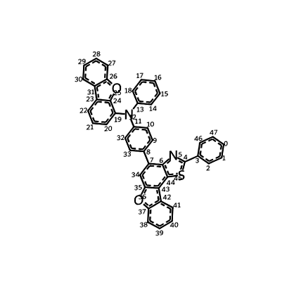 c1ccc(-c2nc3c(-c4ccc(N(c5ccccc5)c5cccc6c5oc5ccccc56)cc4)cc4oc5ccccc5c4c3s2)cc1